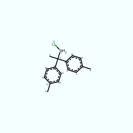 Cc1ccc(C(C)([SiH2]Cl)c2ccc(C)cc2)cc1